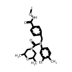 CCc1cc(N(Cc2ccc(C(=O)NOI)cc2)C(=O)N2CC(C)OC(C)C2)ccc1C